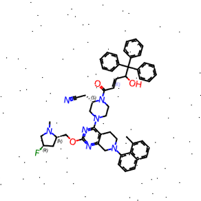 Cc1cccc2cccc(N3CCc4c(nc(OC[C@H]5C[C@@H](F)CN5C)nc4N4CCN(C(=O)/C=C/C(O)C(c5ccccc5)(c5ccccc5)c5ccccc5)[C@@H](CC#N)C4)C3)c12